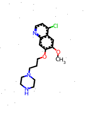 COc1cc2c(Cl)ccnc2cc1OCCCN1CCNCC1